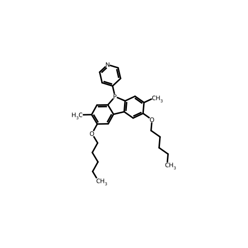 CCCCCOc1cc2c3cc(OCCCCC)c(C)cc3p(-c3ccncc3)c2cc1C